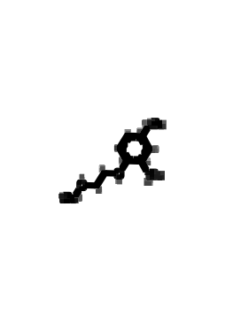 CC(C)(C)OCCOc1ccc(C(C)(C)C)cc1C(C)(C)C